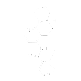 O=C(Nc1ccnc2c1CC[C@@H]1CNCCN21)c1ccccc1Cl